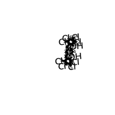 Oc1c(Cl)c(Cl)c(Cl)c(Cl)c1CN1CCCN(Cc2c(O)c(Cl)c(Cl)c(Cl)c2Cl)C1